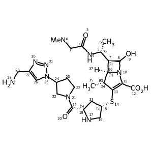 CNCC(=O)N[C@H](C)[C@H]1C(O)N2C(C(=O)O)=C(S[C@@H]3CN[C@H](C(=O)N4CCC(n5cc(CN)nn5)C4)C3)[C@H](C)[C@@H]12